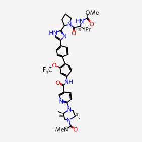 CNC(=O)N1C[C@@H](C)N(c2ccc(C(=O)Nc3ccc(-c4ccc(-c5c[nH]c(C6CCCN6C(=O)[C@@H](NC(=O)OC)C(C)C)n5)cc4)c(OC(F)(F)F)c3)cn2)C[C@@H]1C